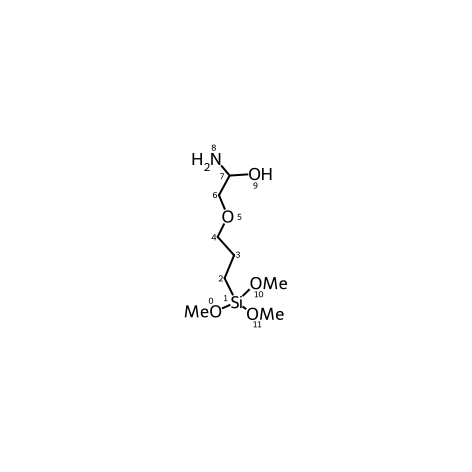 CO[Si](CCCOCC(N)O)(OC)OC